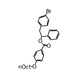 CCCCCCCCOc1ccc(C(=O)OC(Cc2ccc(Br)cc2)c2ccccc2)cc1